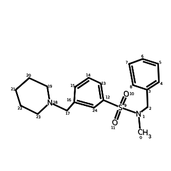 CN(Cc1ccccc1)S(=O)(=O)c1cccc(CN2CCCCC2)c1